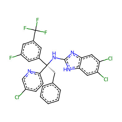 Fc1cc(C(F)(F)F)cc([C@@](Cc2ccccc2)(Nc2nc3cc(Cl)c(Cl)cc3[nH]2)c2ccc(Cl)cn2)c1